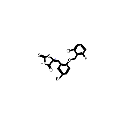 O=C1NC(=S)S/C1=C/c1cc(Br)ccc1OCc1c(F)cccc1Cl